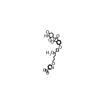 CN(CCCCOc1ccc([N+](=O)[O-])cn1)C1CC(Oc2ccc3c(c2)C(=O)N(C2CCC(=O)NC2=O)C3=O)C1